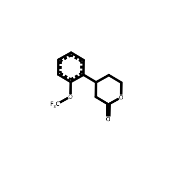 O=C1CC(c2ccccc2OC(F)(F)F)CCO1